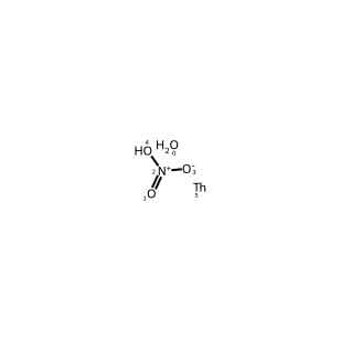 O.O=[N+]([O-])O.[Th]